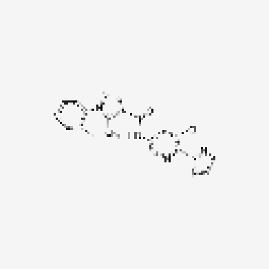 Cc1cnccc1-n1ncc(C(=O)Nc2cnc(-n3nccn3)c(Cl)c2)c1C(F)(F)F